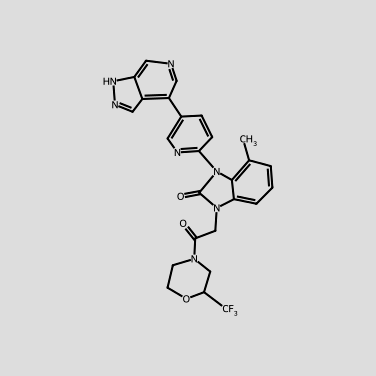 Cc1cccc2c1n(-c1ccc(-c3cncc4[nH]ncc34)cn1)c(=O)n2CC(=O)N1CCOC(C(F)(F)F)C1